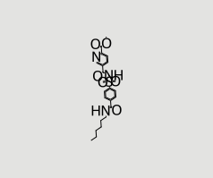 CCCCCCNC(=O)c1ccc(S(=O)(=O)NC(=O)c2ccc(C(=O)OC)nc2)cc1